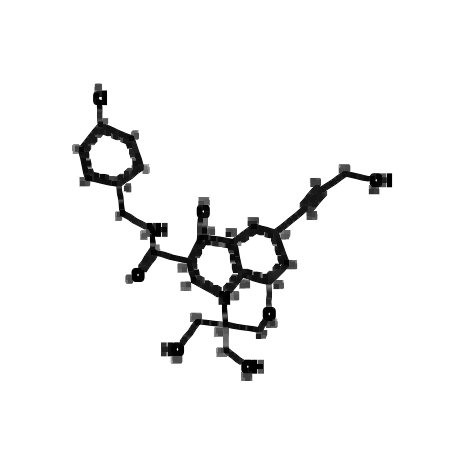 O=C(NCc1ccc(Cl)cc1)c1cn2c3c(cc(C#CCO)cc3c1=O)OCC2(CO)CO